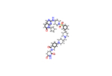 O=C1CCC(N2Cc3cc(N4CCC(CN5CCC(c6cccc(S(=O)(=O)N7CCC(Nc8ncc9ccc(=O)n(C%10CCCC%10)c9n8)CC7)c6)CC5)CC4)ccc3C2=O)C(=O)N1